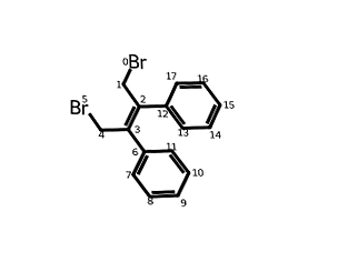 BrC/C(=C(\CBr)c1ccccc1)c1ccccc1